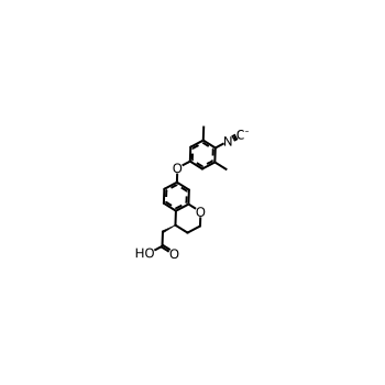 [C-]#[N+]c1c(C)cc(Oc2ccc3c(c2)OCC[C@H]3CC(=O)O)cc1C